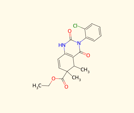 CCOC(=O)C1(C)C=Cc2[nH]c(=O)n(-c3ccccc3Cl)c(=O)c2C1C